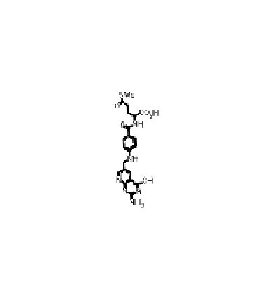 CNC(=O)CCC(NC(=O)c1ccc(NCc2cnc3nc(N)nc(O)c3c2)cc1)C(=O)O